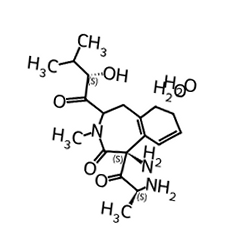 CC(C)[C@H](O)C(=O)C1CC2=C(C=CCC2)[C@](N)(C(=O)[C@H](C)N)C(=O)N1C.O.O